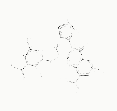 CC(Nc1nc(N)nc(C(F)F)c1C#N)c1nc2c(C(F)F)cc(F)cc2c(=O)n1-c1cc[nH]n1